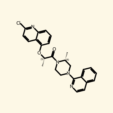 C[C@H](Oc1cccc2nc(Cl)ccc12)C(=O)N1CCN(c2nccc3ccccc23)C[C@H]1C